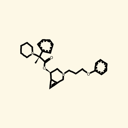 C[C@](C(=O)O[C@H]1CN(CCCOc2ccccc2)CC2=CC21)(c1ccccc1)N1CCCCC1